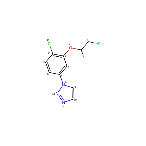 FCC(F)Oc1cc(-n2c[c]nn2)ccc1Cl